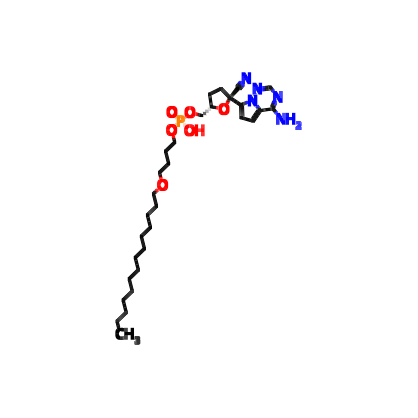 CCCCCCCCCCCCCCOCCCCOP(=O)(O)OC[C@@H]1CC[C@](C#N)(c2ccc3c(N)ncnn23)O1